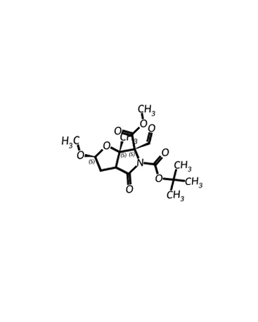 COC(=O)[C@]1(C=O)N(C(=O)OC(C)(C)C)C(=O)C2C[C@@H](OC)O[C@@]21C